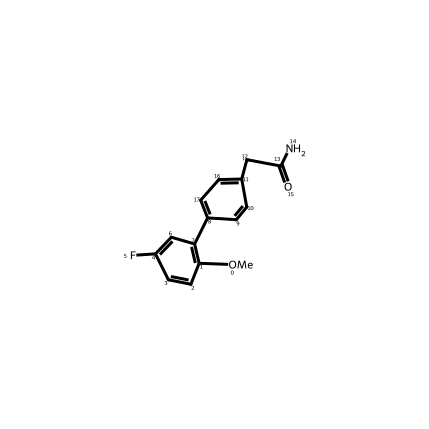 COc1ccc(F)cc1-c1ccc([CH]C(N)=O)cc1